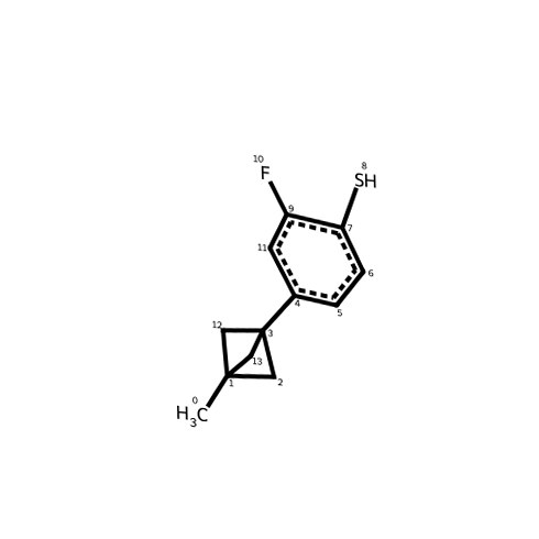 CC12CC(c3ccc(S)c(F)c3)(C1)C2